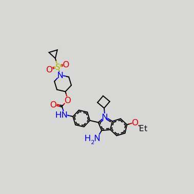 CCOc1ccc2c(N)c(-c3ccc(NC(=O)OC4CCN(S(=O)(=O)C5CC5)CC4)cc3)n(C3CCC3)c2c1